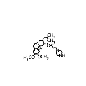 COc1cc2c(cc1OC)[C@H]1C[C@@H](COC(=O)CCN3CCNCC3)[C@H](CC(C)C)CN1CC2